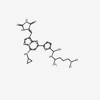 CCN(CC)CCCC(C)NC(O)c1ccc(-c2cc(NC3CC3)n3ncc(/C=C4\NC(=O)NC4=O)c3n2)s1